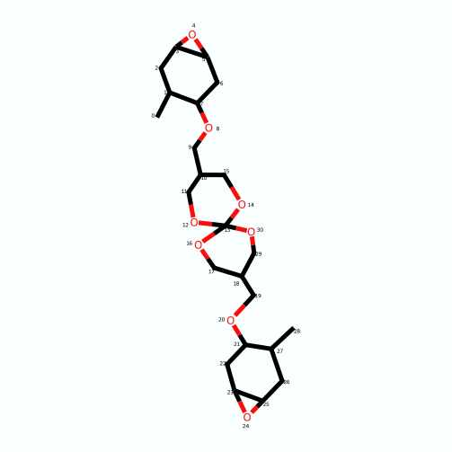 CC1CC2OC2CC1OCC1COC2(OC1)OCC(COC1CC3OC3CC1C)CO2